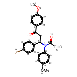 CCOc1ccc(C(=O)CC(c2ccc(Br)cc2)N(C(=O)C=O)c2ccc(OC)cc2)cc1